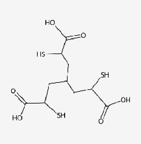 O=C(O)C(S)CC(CC(S)C(=O)O)CC(S)C(=O)O